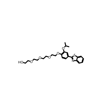 CC(C)Oc1cc(-c2nc3ccccc3s2)ccc1OCCOCCOCCOCCO